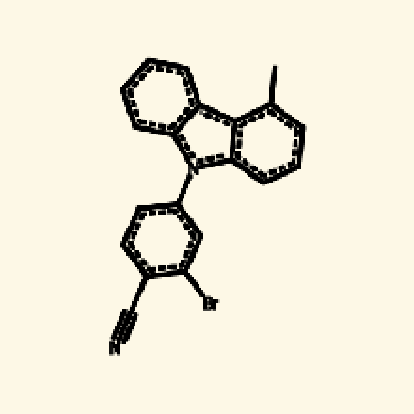 Cc1cccc2c1c1ccccc1n2-c1ccc(C#N)c(Br)c1